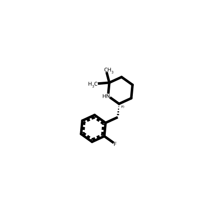 CC1(C)CCC[C@H](Cc2ccccc2F)N1